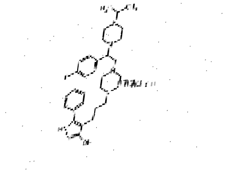 CC(C)N1CCN(C(CN2CCN(CCCc3c(O)n[nH]c3-c3ccccc3)CC2)c2ccc(F)cc2)CC1.Cl.Cl.Cl.Cl